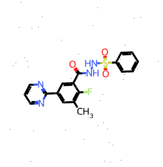 Cc1cc(-c2ncccn2)cc(C(=O)NNS(=O)(=O)c2ccccc2)c1F